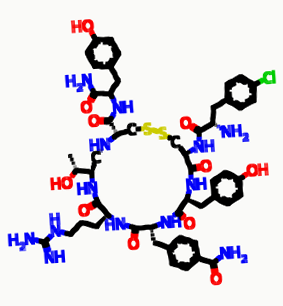 C[C@@H](O)[C@H]1CN[C@H](C(=O)NC(Cc2ccc(O)cc2)C(N)=O)CSSC[C@@H](NC(=O)[C@@H](N)Cc2ccc(Cl)cc2)C(=O)N[C@@H](Cc2ccc(O)cc2)C(=O)N[C@H](Cc2ccc(C(N)=O)cc2)C(=O)N[C@@H](CCCNC(=N)N)C(=O)N1